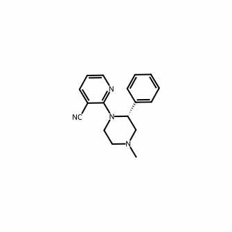 CN1CCN(c2ncccc2C#N)[C@H](c2ccccc2)C1